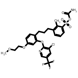 COCCOc1ccc(CCCc2cccc(S(=O)(=O)OC(N)=O)c2C)c(Oc2ncc(C(F)(F)F)cc2Cl)c1